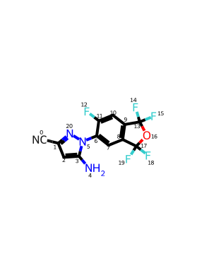 N#Cc1cc(N)n(-c2cc3c(cc2F)C(F)(F)OC3(F)F)n1